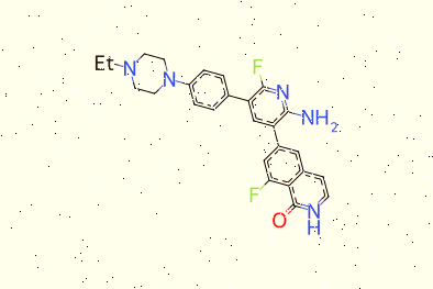 CCN1CCN(c2ccc(-c3cc(-c4cc(F)c5c(=O)[nH]ccc5c4)c(N)nc3F)cc2)CC1